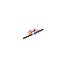 CCCCCCCCNCCCCCCCC.O=C(O)CNCP(=O)(O)O